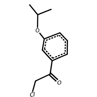 CC(C)Oc1cccc(C(=O)CCl)c1